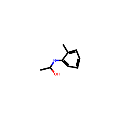 Cc1ccccc1[N]C(C)O